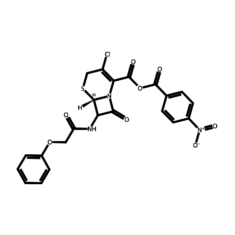 O=C(COc1ccccc1)NC1C(=O)N2C(C(=O)OC(=O)c3ccc([N+](=O)[O-])cc3)=C(Cl)CS[C@@H]12